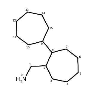 NCC1CCCCCC1C1CCCCCC1